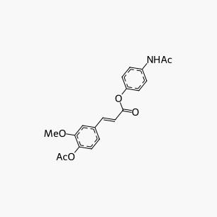 COc1cc(C=CC(=O)Oc2ccc(NC(C)=O)cc2)ccc1OC(C)=O